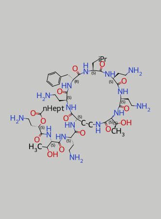 CCCCCCCC(=O)O[C@@H](CCN)C(=O)N[C@H](C(=O)N[C@@H](CCN)C(=O)N[C@H]1CCNC(=O)[C@H]([C@H](C)O)NC(=O)[C@H](CCN)NC(=O)[C@H](CCN)NC(=O)[C@H](CC(C)C)NC(=O)[C@@H](Cc2ccccc2)NC(=O)[C@H](CCN)NC1=O)C(C)O